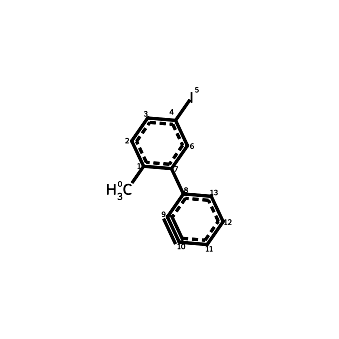 Cc1ccc(I)cc1-c1c#cccc1